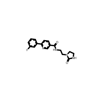 O=C(NCCN1CCNC1=O)c1ccc(-c2cccc(F)c2)nc1